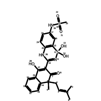 CC(C)=CCC1(C)C(=O)C(C2=NS(O)(O)c3cc(NS(C)(=O)=O)ccc3N2)=C(O)c2ccccc21